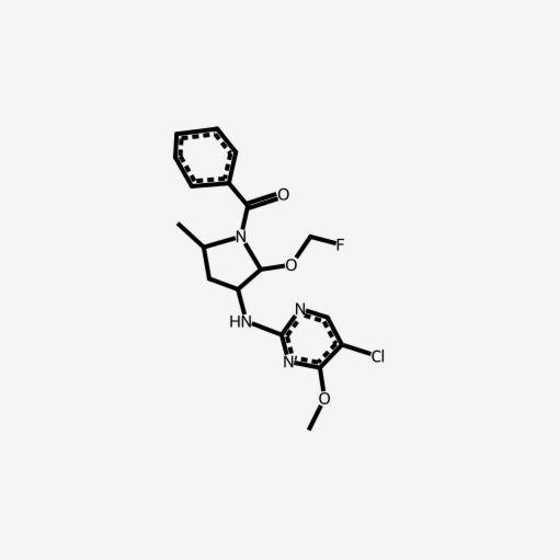 COc1nc(NC2CC(C)N(C(=O)c3ccccc3)C2OCF)ncc1Cl